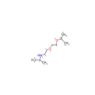 CC(C)NCCOCCOC(C)C